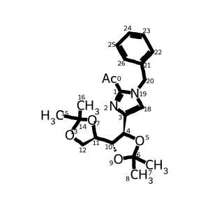 CC(=O)c1nc([C@H]2OC(C)(C)O[C@@H]2[C@H]2COC(C)(C)O2)cn1Cc1ccccc1